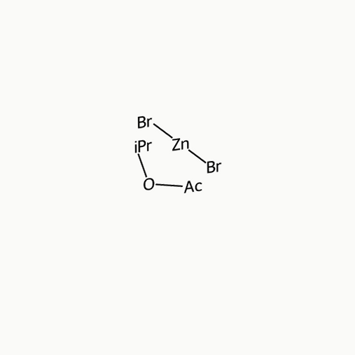 [Br][Zn][Br].[CH2]C(=O)OC(C)C